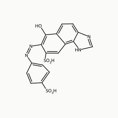 O=S(=O)(O)c1ccc(/N=N\c2c(S(=O)(=O)O)cc3c(ccc4nc[nH]c43)c2O)cc1